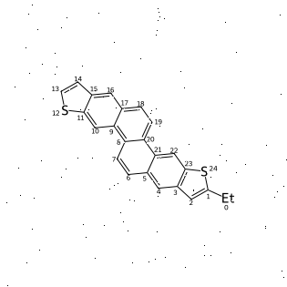 CCc1cc2cc3ccc4c5cc6sccc6cc5ccc4c3cc2s1